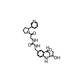 O=C(NCC(=O)N1CCCC1c1cccnc1)NCc1ccc2c(c1)[C@H]1CC(N2)[C@H](O)CO1